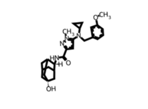 COc1cccc(CN(c2cc(C(=O)N[C@H]3C4CC5CC3C[C@](O)(C5)C4)nn2C)C2CC2)c1